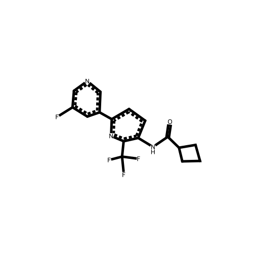 O=C(Nc1ccc(-c2cncc(F)c2)nc1C(F)(F)F)C1CCC1